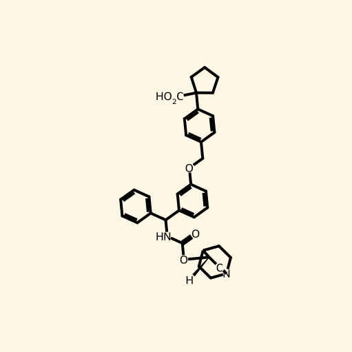 O=C(NC(c1ccccc1)c1cccc(OCc2ccc(C3(C(=O)O)CCCC3)cc2)c1)O[C@H]1CN2CCC1CC2